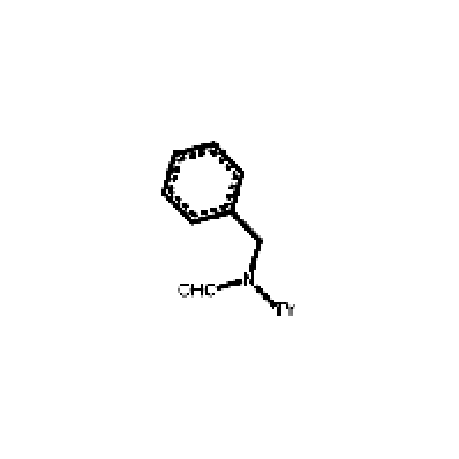 CC(C)N(C=O)Cc1ccccc1